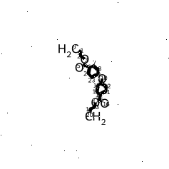 C=CCOC(=O)c1ccc(Oc2ccc(C(=O)OCC=C)cc2)cc1